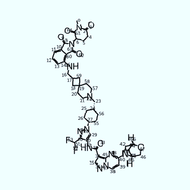 CN1C(=O)CCC(N2C(=O)c3cccc(NCC4CC5(CCN(C[C@H]6CC[C@H](n7cc(NC(=O)c8cnn9ccc(N%10C[C@H]%11C[C@@H]%10CO%11)nc89)c(C(F)F)n7)CC6)CC5)C4)c3C2=O)C1=O